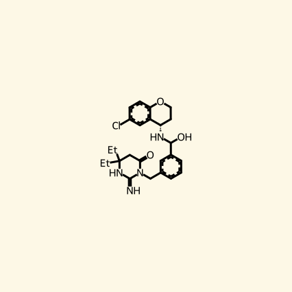 CCC1(CC)CC(=O)N(Cc2cccc(C(O)N[C@H]3CCOc4ccc(Cl)cc43)c2)C(=N)N1